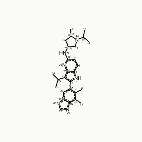 Cc1c(-c2[nH]c3ccc(N[C@H]4C[C@@H](C)N(C(C)C)C4)nc3c2C(C)C)cn2ncnc2c1C